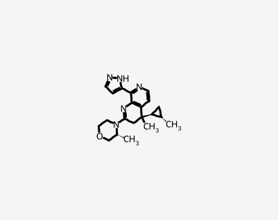 C[C@@H]1COCCN1C1=Nc2c(ccnc2-c2ccn[nH]2)C(C)([C@H]2C[C@@H]2C)C1